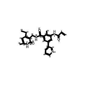 C=CC(=O)Nc1cc(-c2cccnc2)cc(C(=O)NCc2c(CC)cc(C)[nH]c2=O)c1C